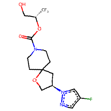 O=C(O[C@H](CO)C(F)(F)F)N1CCC2(CC1)C[C@@H](n1cc(F)cn1)CO2